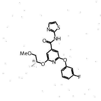 COC[C@@H](C)Oc1cc(C(=O)Nc2nccs2)cc(Oc2cccc(F)c2)n1